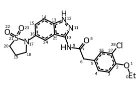 CCOc1ccc(CC(=O)Nc2n[nH]c3ccc(N4CCCS4(=O)=O)cc23)cc1Cl